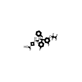 O=C(N[C@](Cc1ccccc1)(c1ccc(F)cc1)c1cc(F)cc(OC(F)(F)C(F)F)c1)N[C@H]1C[C@@H](C(O)F)C1